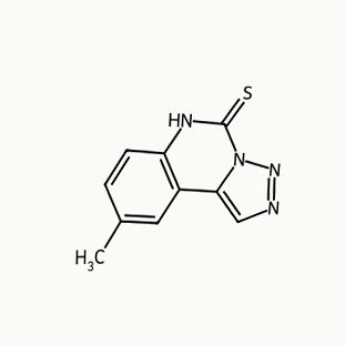 Cc1ccc2[nH]c(=S)n3nncc3c2c1